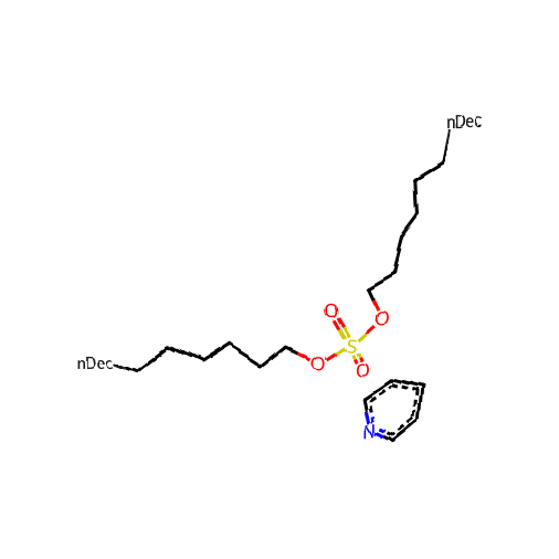 CCCCCCCCCCCCCCCCOS(=O)(=O)OCCCCCCCCCCCCCCCC.c1ccncc1